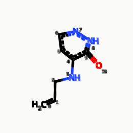 C=CCNc1ccn[nH]c1=O